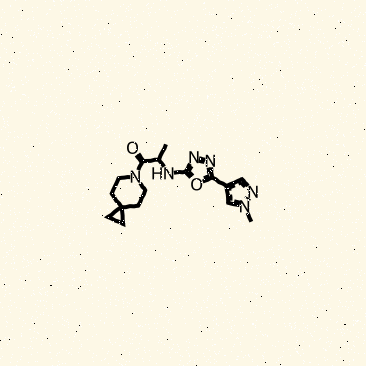 CC(Nc1nnc(-c2cnn(C)c2)o1)C(=O)N1CCC2(CC1)CC2